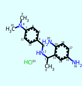 CC(NCc1ccc(N(C)C)cc1)c1cc(N)ccc1N.Cl